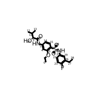 CCOc1cc(NC(=O)[C@@H](O)C(C)C)ccc1S(=O)(=O)Nc1ccc(F)c(CC)c1